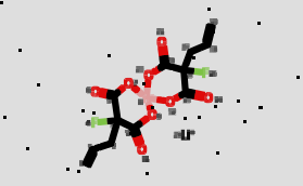 C=CCC1(F)C(=O)O[B-]2(OC1=O)OC(=O)C(F)(CC=C)C(=O)O2.[Li+]